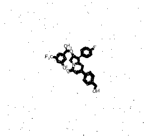 C[C@@H](OC1CN2C(=O)C=C(c3ccc(CO)cc3)CC2[C@@H]1c1ccc(F)cc1)c1cc(C(F)(F)F)cc(C(F)(F)F)c1